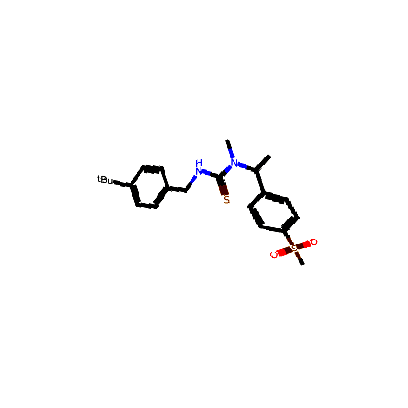 CC(c1ccc(S(C)(=O)=O)cc1)N(C)C(=S)NCc1ccc(C(C)(C)C)cc1